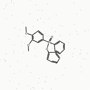 COc1ccc(P(=O)(Oc2ccccc2)c2ccccc2)cc1OC